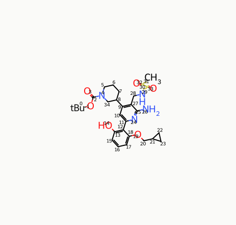 CC(C)(C)OC(=O)N1CCCC(c2cc(-c3c(O)cccc3OCC3CC3)nc(N)c2CNS(C)(=O)=O)C1